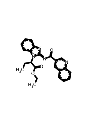 CCOC(=O)C(CC)n1c(=NC(=O)c2cnc3ccccc3c2)sc2ccccc21